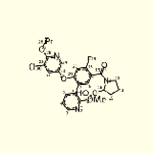 COc1ncccc1-c1cc(C(=O)N2CCCC2C(=O)O)c(F)cc1Oc1cnc(OC(C)C)c(Cl)c1